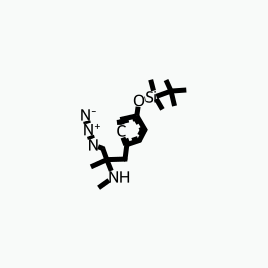 CNC(C)(CN=[N+]=[N-])Cc1ccc(O[Si](C)(C)C(C)(C)C)cc1